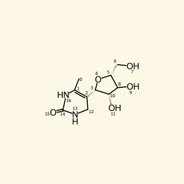 CC1=C([C@@H]2O[C@H](CO)C(O)[C@@H]2O)CNC(=O)N1